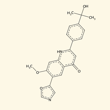 COc1cc2[nH]c(-c3ccc(C(C)(C)O)cc3)cc(=O)c2cc1-c1cnco1